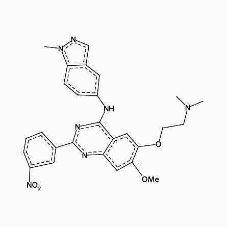 COc1cc2nc(-c3cccc([N+](=O)[O-])c3)nc(Nc3ccc4c(cnn4C)c3)c2cc1OCCN(C)C